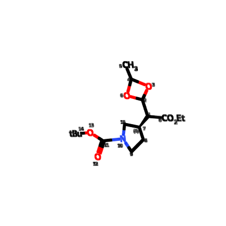 CCOC(=O)C(C1OC(C)O1)[C@H]1CCN(C(=O)OC(C)(C)C)C1